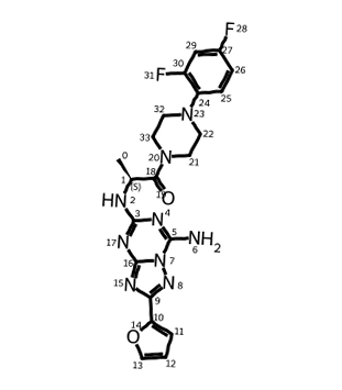 C[C@H](Nc1nc(N)n2nc(-c3ccco3)nc2n1)C(=O)N1CCN(c2ccc(F)cc2F)CC1